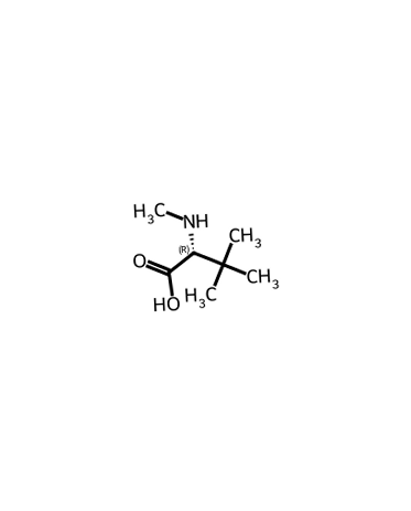 CN[C@@H](C(=O)O)C(C)(C)C